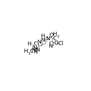 Cc1nc2c(cc1-c1nnn(C)n1)CCC1(CCN(C(=O)C(C)c3ccncc3OCCl)C1)N2